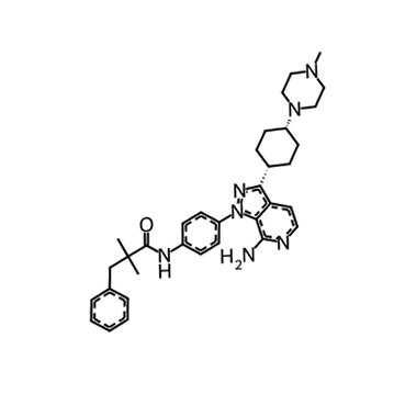 CN1CCN([C@H]2CC[C@@H](c3nn(-c4ccc(NC(=O)C(C)(C)Cc5ccccc5)cc4)c4c(N)nccc43)CC2)CC1